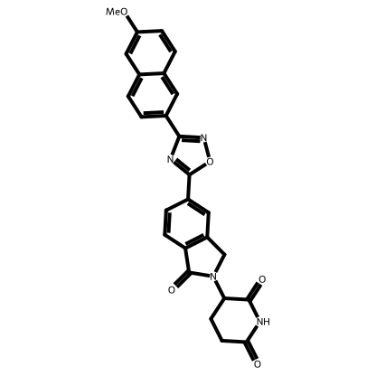 COc1ccc2cc(-c3noc(-c4ccc5c(c4)CN(C4CCC(=O)NC4=O)C5=O)n3)ccc2c1